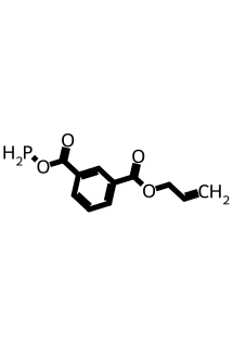 C=CCOC(=O)c1cccc(C(=O)OP)c1